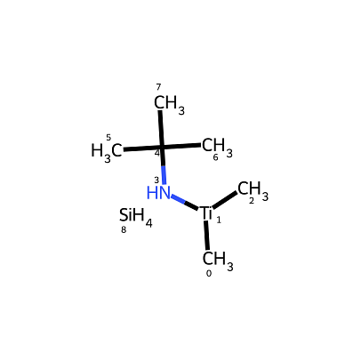 [CH3][Ti]([CH3])[NH]C(C)(C)C.[SiH4]